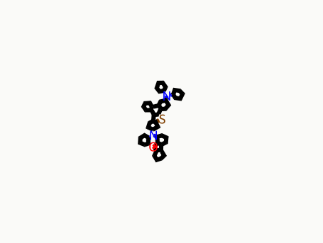 c1ccc(N(c2ccccc2)c2ccc3c(c2)c2ccccc2c2c4ccc(N(c5ccccc5)c5cccc6c5oc5ccccc56)cc4sc32)cc1